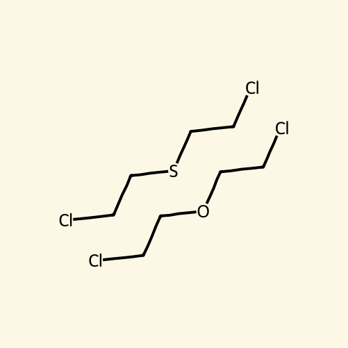 ClCCOCCCl.ClCCSCCCl